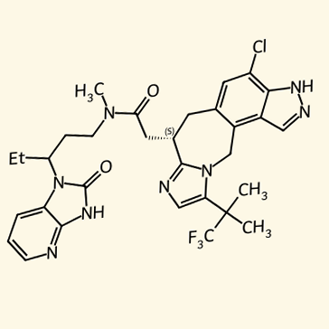 CCC(CCN(C)C(=O)C[C@@H]1Cc2cc(Cl)c3[nH]ncc3c2Cn2c(C(C)(C)C(F)(F)F)cnc21)n1c(=O)[nH]c2ncccc21